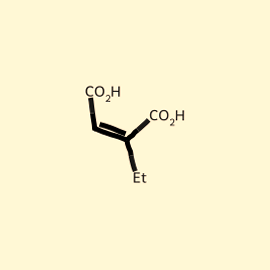 CCC(=CC(=O)O)C(=O)O